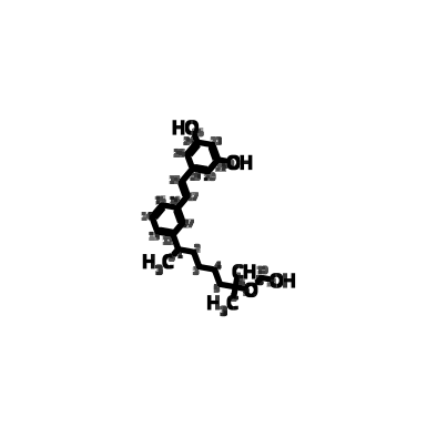 CC(CCCCC(C)(C)OCO)c1cccc(/C=C/c2cc(O)cc(O)c2)c1